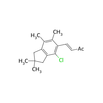 CC(=O)C=Cc1c(C)c(C)c2c(c1Cl)CC(C)(C)C2